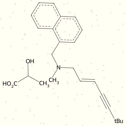 CC(O)C(=O)O.CN(C/C=C/C#CC(C)(C)C)Cc1cccc2ccccc12